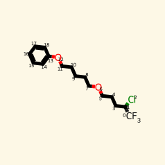 FC(F)(F)C(Cl)CCCOCCCCCOc1ccccc1